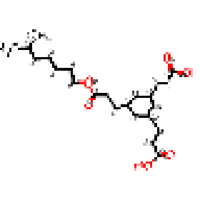 CC(C)CCCCCOC(=O)CCC1CC(CCC(=O)O)CC(CCC(=O)O)C1